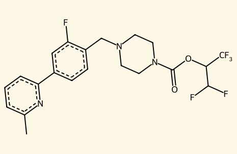 Cc1cccc(-c2ccc(CN3CCN(C(=O)OC(C(F)F)C(F)(F)F)CC3)c(F)c2)n1